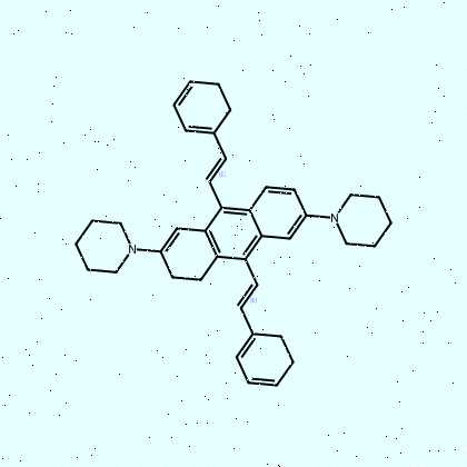 C1=CCCC(/C=C/c2c3c(c(/C=C/C4=CC=CCC4)c4cc(N5CCCCC5)ccc24)CCC(N2CCCCC2)=C3)=C1